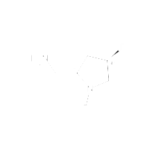 CCN1C[C@H](F)C[C@H]1CN